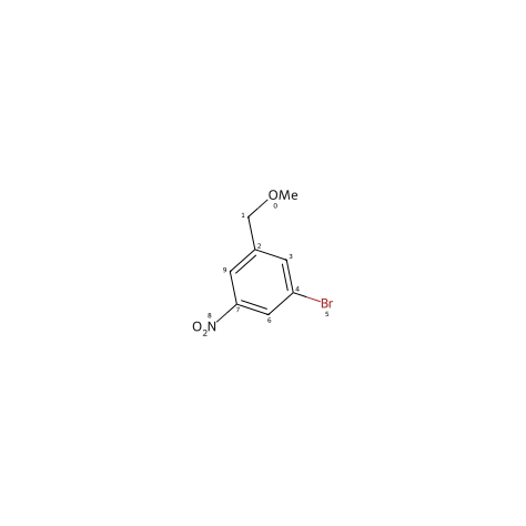 COCc1cc(Br)cc([N+](=O)[O-])c1